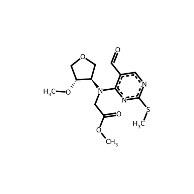 COC(=O)CN(c1nc(SC)ncc1C=O)[C@@H]1COC[C@H]1OC